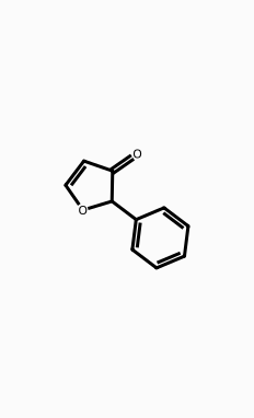 O=C1C=COC1c1ccccc1